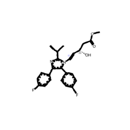 COC(=O)C[C@H](O)/C=C/n1c(C(C)C)nc(-c2ccc(F)cc2)c1-c1ccc(F)cc1